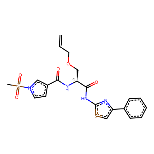 C=CCOC[C@H](NC(=O)c1ccn(S(C)(=O)=O)c1)C(=O)Nc1nc(-c2ccccc2)cs1